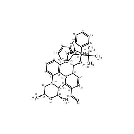 CC(C)=NOc1cccc(N2C[C@@H](C)O[C@@H](C)C2)c1N1C(Cl)=C(C=O)N=CC1CO[Si](c1ccccc1)(c1ccccc1)C(C)(C)C